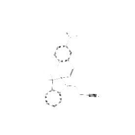 CC1(C)c2ccccc2N(CCC#N)C12C=Cc1cc([N+](=O)[O-])ccc1O2